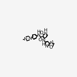 CN1CCN(c2ccc(NC(=O)c3c(Nc4cnc5c(c4)N(C)CCO5)cc[nH]c3=O)cc2)CC1